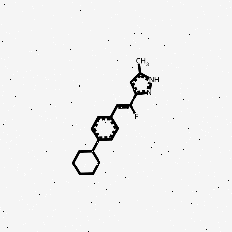 Cc1cc(C(F)=Cc2ccc(C3CCCCC3)cc2)n[nH]1